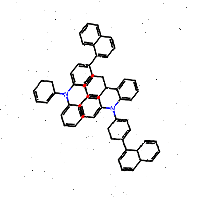 C1=CCCC(N(c2ccc(-c3cccc4ccccc34)cc2)c2ccccc2C2=CC(c3ccccc3N(C3=CC=C(C4=CC=CC5C=CC=CC45)CC3)c3ccccc3)CC=C2)=C1